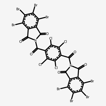 O=C(c1c(Cl)c(Cl)c(C(=O)N2C(=O)c3c(Br)c(Br)c(Br)c(Br)c3C2=O)c(Cl)c1Cl)N1C(=O)c2c(Br)c(Br)c(Br)c(Br)c2C1=O